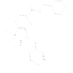 CC1(C)C(=O)N(Cc2cc(F)cc(F)c2)c2nc(C(=O)NCc3ccccc3)ccc21